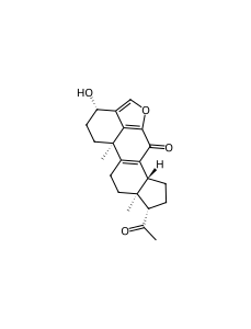 CC(=O)[C@H]1CC[C@H]2C3=C(CC[C@]12C)[C@@]1(C)CC[C@H](O)c2coc(c21)C3=O